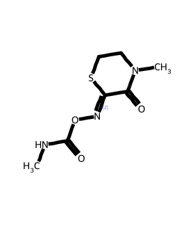 CNC(=O)O/N=C1\SCCN(C)C1=O